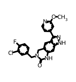 COc1cc(-c2n[nH]c3cc4c(cc23)CN(Cc2ccc(F)c(Cl)c2)C(=O)N4)ccn1